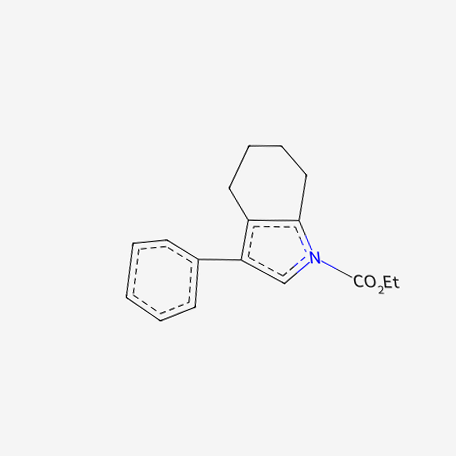 CCOC(=O)n1cc(-c2ccccc2)c2c1CCCC2